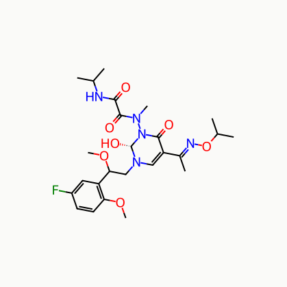 COc1ccc(F)cc1C(CN1C=C(/C(C)=N/OC(C)C)C(=O)N(N(C)C(=O)C(=O)NC(C)C)[C@H]1O)OC